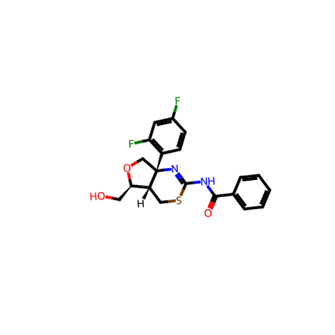 O=C(NC1=N[C@@]2(c3ccc(F)cc3F)CO[C@H](CO)[C@H]2CS1)c1ccccc1